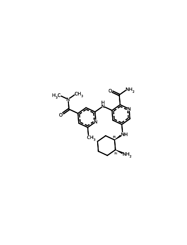 Cc1cc(C(=O)N(C)C)cc(Nc2cc(N[C@@H]3CCCC[C@@H]3N)cnc2C(N)=O)n1